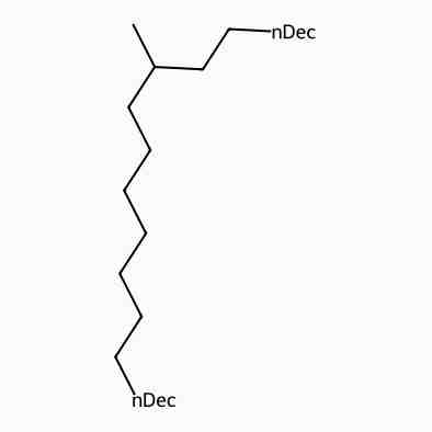 CCCCCCCCCCCCCCCCCC(C)CCCCCCCCCCCC